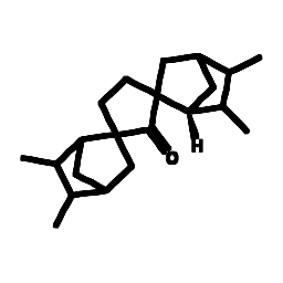 CC1C2CC(C1C)C1(CCC3(CC4C[C@@H]3C(C)C4C)C1=O)C2